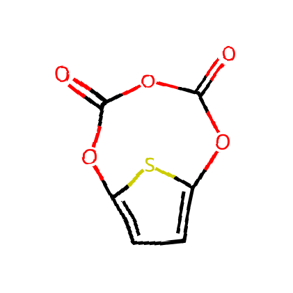 O=c1oc(=O)oc2ccc(o1)s2